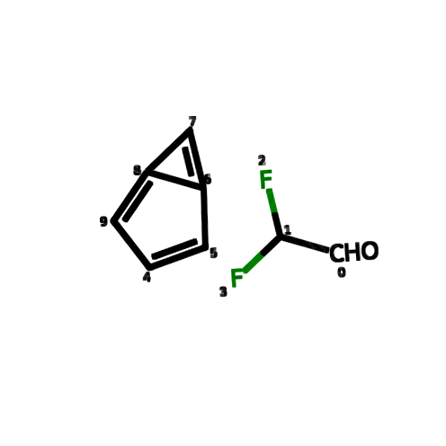 O=CC(F)F.c1cc2cc-2c1